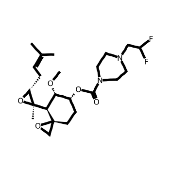 CO[C@@H]1[C@H](OC(=O)N2CCN(CC(F)F)CC2)CC[C@]2(CO2)[C@H]1[C@@]1(C)O[C@@H]1CC=C(C)C